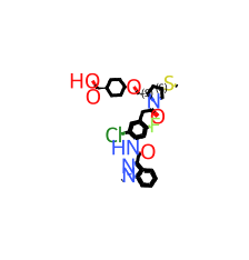 CS[C@H]1C[C@@H](CO[C@H]2CC[C@H](C(=O)O)CC2)N(C(=O)Cc2cc(Cl)c(NC(=O)c3nn(C)c4ccccc34)cc2F)C1